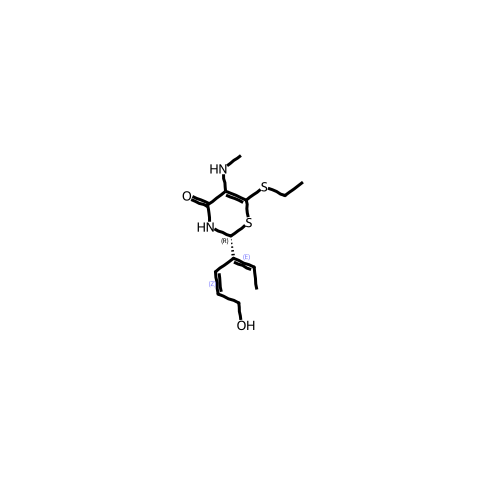 C/C=C(\C=C/CO)[C@@H]1NC(=O)C(NC)=C(SCC)S1